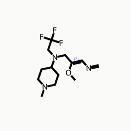 C=N/C=C(/CN(CC(F)(F)F)C1CCN(C)CC1)OC